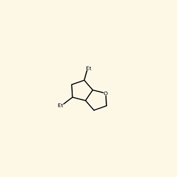 CCC1CC(CC)C2OCCC12